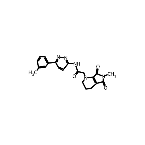 Cc1cccc(-c2ccc(NC(=O)CN3CCCC4=C3C(=O)N(C)C4=O)nn2)c1